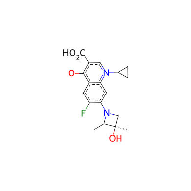 CC1N(c2cc3c(cc2F)c(=O)c(C(=O)O)cn3C2CC2)C[C@@]1(C)O